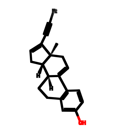 CCC#CC1=CC[C@H]2[C@@H]3CCc4cc(O)ccc4C3=CC[C@]12C